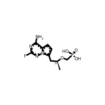 C[C@@H](Cc1ccc2c(N)nc(F)nn12)OCP(=O)(O)O